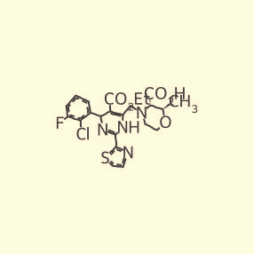 CCOC(=O)C1=C(CN2CCO[C@H](C)[C@H]2C(=O)O)NC(c2nccs2)=NC1c1cccc(F)c1Cl